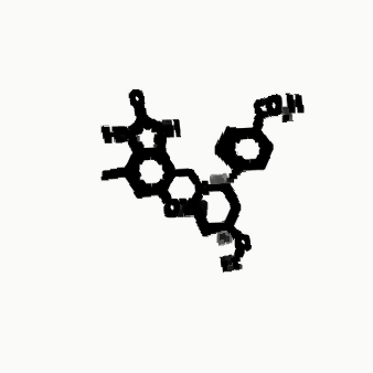 CCO[C@H]1CCN(Cc2c(OC)cc(C)c3[nH]c(=O)[nH]c23)[C@H](c2ccc(C(=O)O)cc2)C1